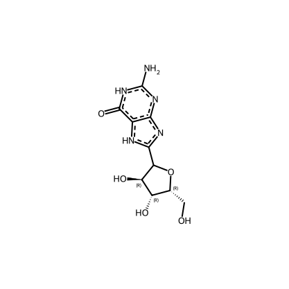 Nc1nc2nc(C3O[C@H](CO)[C@H](O)[C@H]3O)[nH]c2c(=O)[nH]1